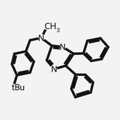 CN(Cc1ccc(C(C)(C)C)cc1)c1cnc(-c2ccccc2)c(-c2ccccc2)n1